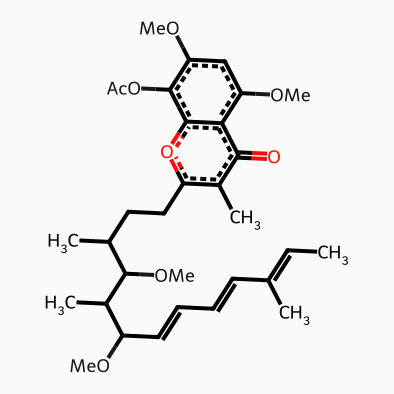 C/C=C(C)/C=C/C=C/C(OC)C(C)C(OC)C(C)CCc1oc2c(OC(C)=O)c(OC)cc(OC)c2c(=O)c1C